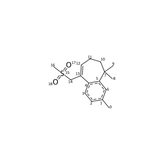 Cc1ccc2c(c1)C(C)(C)CCC=C2CS(C)(=O)=O